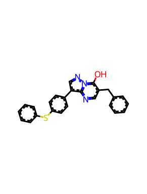 Oc1c(Cc2ccccc2)cnc2c(-c3ccc(Sc4ccccc4)cc3)cnn12